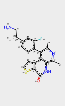 Cc1nc(C)c2[nH]c(=O)c3sccc3c2c1-c1ccc([C@H](C)CN)cc1F